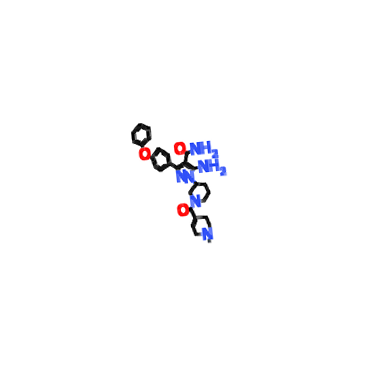 CN1CC=C(C(=O)N2CCCC(n3nc(-c4ccc(Oc5ccccc5)cc4)c(C(N)=O)c3N)C2)CC1